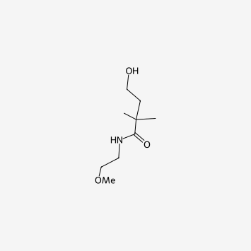 COCCNC(=O)C(C)(C)CCO